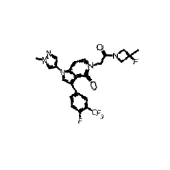 Cn1cc(-n2cc(-c3ccc(F)c(C(F)(F)F)c3)c3c(=O)n(CC(=O)N4CC(C)(F)C4)ccc32)cn1